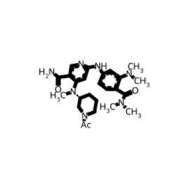 CC(=O)N1CCC[C@@H](N(C)c2cc(Nc3ccc(C(=O)N(C)C)c(N(C)C)c3)ncc2C(N)=O)C1